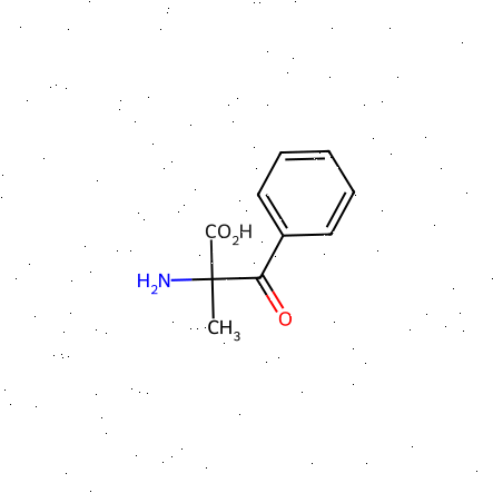 CC(N)(C(=O)O)C(=O)c1ccccc1